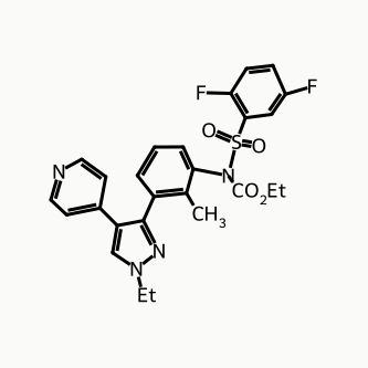 CCOC(=O)N(c1cccc(-c2nn(CC)cc2-c2ccncc2)c1C)S(=O)(=O)c1cc(F)ccc1F